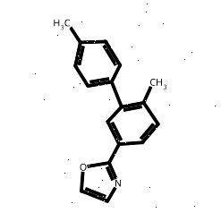 Cc1ccc(-c2cc(-c3ncco3)ccc2C)cc1